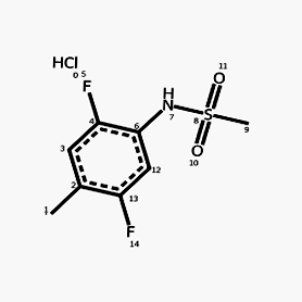 Cl.[CH2]c1cc(F)c(NS(C)(=O)=O)cc1F